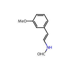 COc1cccc(C=CNC=O)c1